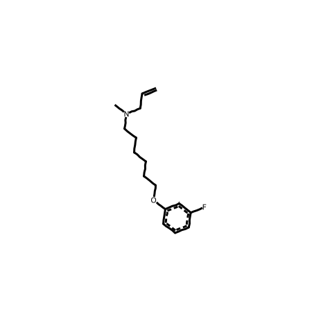 C=CCN(C)CCCCCCOc1[c]c(F)ccc1